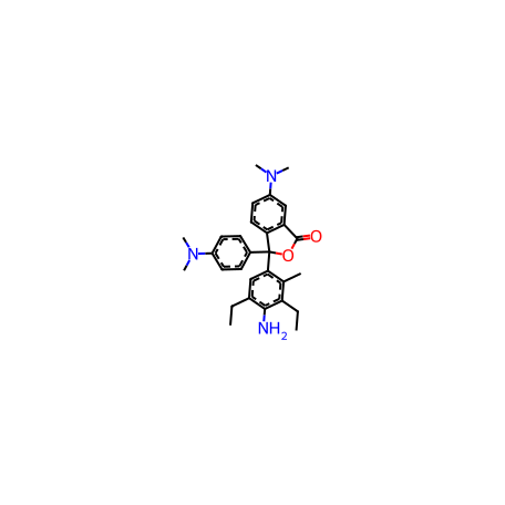 CCc1cc(C2(c3ccc(N(C)C)cc3)OC(=O)c3cc(N(C)C)ccc32)c(C)c(CC)c1N